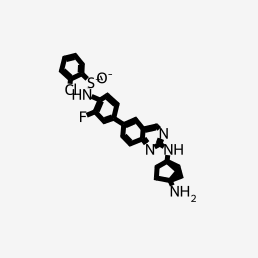 NC12CCC(Nc3ncc4cc(-c5ccc(N[S+]([O-])c6ccccc6Cl)c(F)c5)ccc4n3)(CC1)C2